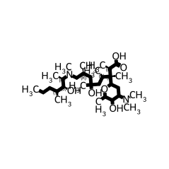 CCC[C@H](C)[C@H](O)[C@@H](C)N(C)C[C@H](C)CC(C)(O)C[C@@H](C)[C@@](C)(C1CC(N(C)C)C(O)C(C)O1)[C@@H](C)C(=O)O